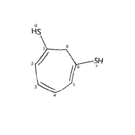 SC1=CC=CC=C(S)C1